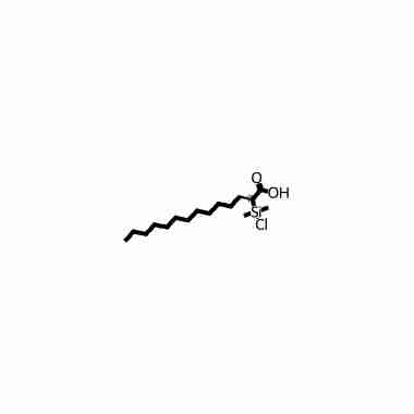 CCCCCCCCCCCC[C@@H](C(=O)O)[Si](C)(C)Cl